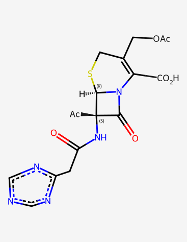 CC(=O)OCC1=C(C(=O)O)N2C(=O)[C@@](NC(=O)Cc3ncncn3)(C(C)=O)[C@H]2SC1